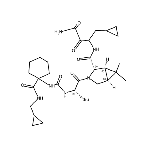 CC(C)(C)[C@H](NC(=O)NC1(C(=O)NCC2CC2)CCCCC1)C(=O)N1C[C@H]2[C@@H]([C@H]1C(=O)NC(CC1CC1)C(=O)C(N)=O)C2(C)C